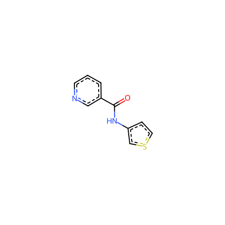 O=C(Nc1ccsc1)c1cccnc1